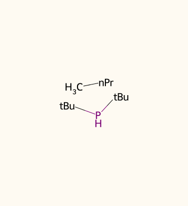 CC(C)(C)PC(C)(C)C.CCCC